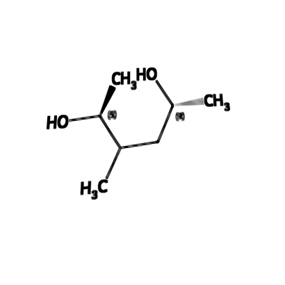 CC(C[C@@H](C)O)[C@H](C)O